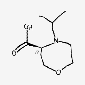 CC(C)N1CCOC[C@H]1C(=O)O